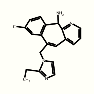 CCc1nccn1CC1=Cc2cccnc2C(N)c2ccc(Cl)cc21